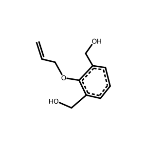 C=CCOc1c(CO)cccc1CO